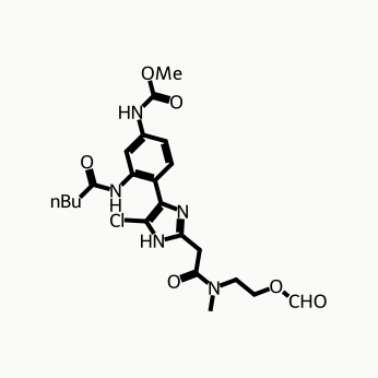 CCCCC(=O)Nc1cc(NC(=O)OC)ccc1-c1nc(CC(=O)N(C)CCOC=O)[nH]c1Cl